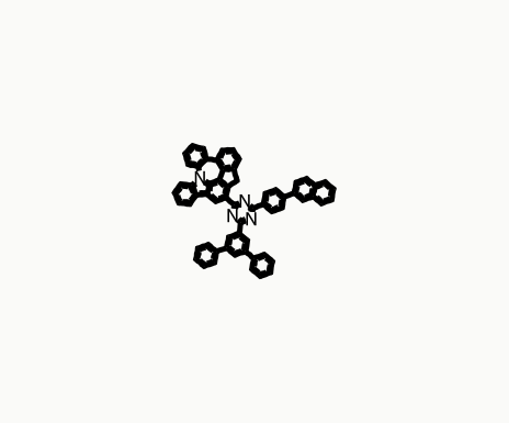 c1ccc(-c2cc(-c3ccccc3)cc(-c3nc(-c4ccc(-c5ccc6ccccc6c5)cc4)nc(-c4cc5c6ccccc6n6c5c5c4Cc4cccc(c4-5)-c4ccccc4-6)n3)c2)cc1